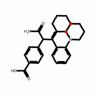 NC(=O)C(C(=C1CCCCC1)c1ccccc1N1CCCCC1)c1ccc(C(=O)O)cc1